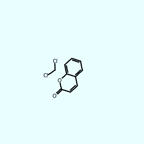 ClCCl.O=c1ccc2ccccc2o1